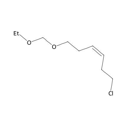 CCOCOCC/C=C\CCCl